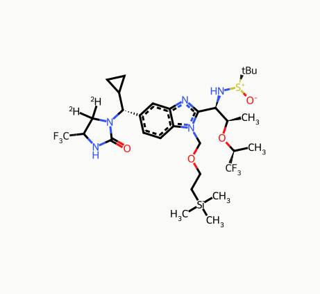 [2H]C1([2H])C(C(F)(F)F)NC(=O)N1[C@@H](c1ccc2c(c1)nc([C@@H](N[S@+]([O-])C(C)(C)C)[C@@H](C)O[C@@H](C)C(F)(F)F)n2COCC[Si](C)(C)C)C1CC1